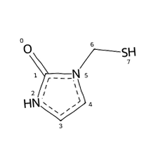 O=c1[nH]ccn1CS